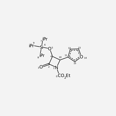 CCOC(=O)N1C(=O)C(O[Si](C(C)C)(C(C)C)C(C)C)C1c1ccoc1